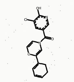 O=C(c1cnc(O)c(Cl)c1)N1C=COC(C2=CC=CCC2)=C1